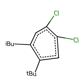 CCC(C)c1cc(Cl)c(Cl)cc1C(C)(C)C